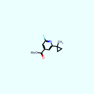 COC(=O)c1cc(F)nc(C2(C)CC2)c1